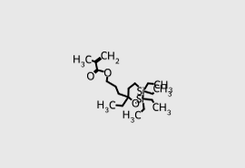 C=C(C)C(=O)OCCCC1(CC)CC[Si](CC)(CC)[Si](CC)(CC)O1